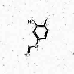 Cc1ccc(OC=O)cc1O